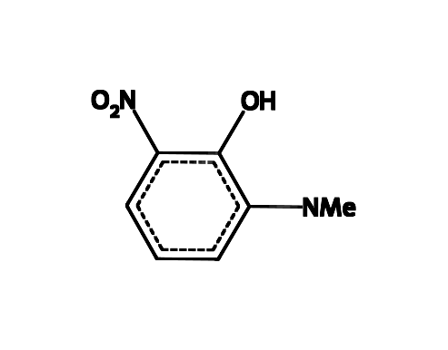 CNc1cccc([N+](=O)[O-])c1O